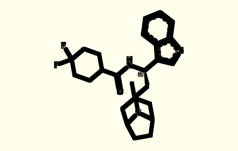 CC1CC2CCC(C1)N2CC[C@H](NC(=O)C1CCC(F)(F)CC1)c1csc2ccccc12